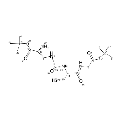 CC(C)(C)OC(=O)CNC(=O)[C@H](CS)NC(=O)NC[C@H](N)C(=O)OC(C)(C)C